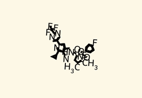 C[C@@H]1C[C@@H](C(=O)NCc2cc(-c3cnc(C(F)(F)F)nc3)nc(C3CC3)c2C#N)N(S(=O)(=O)c2ccc(F)cc2)[C@H]1C